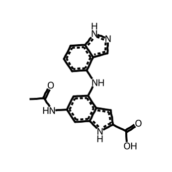 CC(=O)Nc1cc(Nc2cccc3[nH]ncc23)c2cc(C(=O)O)[nH]c2c1